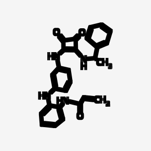 C=CC(=O)Nc1ccccc1Nc1cccc(Nc2c(N[C@H](C)c3ccccc3)c(=O)c2=O)c1